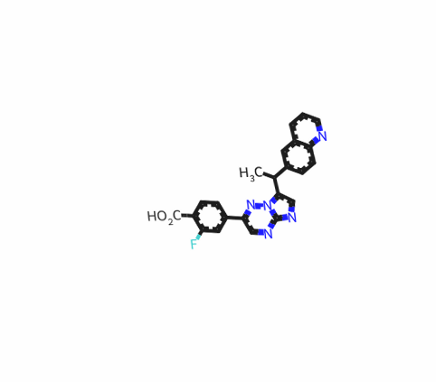 CC(c1ccc2ncccc2c1)c1cnc2ncc(-c3ccc(C(=O)O)c(F)c3)nn12